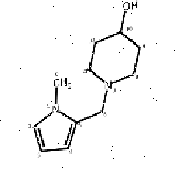 Cn1cccc1CN1CCC(O)CC1